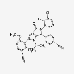 COc1cnc(C#N)c(C)c1-c1cc2c(n1C(C)C)C(c1ccc(C#N)cc1)N(c1cccc(Cl)c1F)C2=O